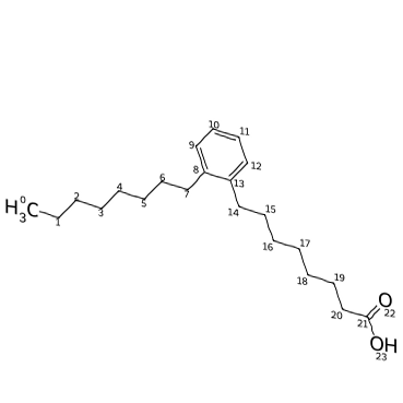 CCCCCCCCc1ccccc1CCCCCCCC(=O)O